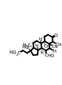 CCC1C(C=O)[C@H]2[C@@H]3CC[C@](O)(CCC(=O)O)[C@@]3(C)CC[C@@H]2[C@@]2(C)CCC(=O)C(C=O)C12C#N